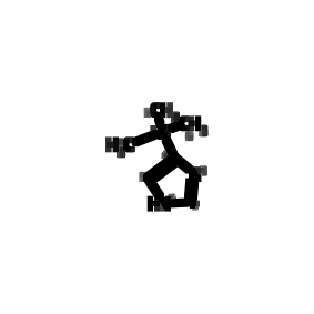 C[Si](C)(C)c1c[nH][c]n1